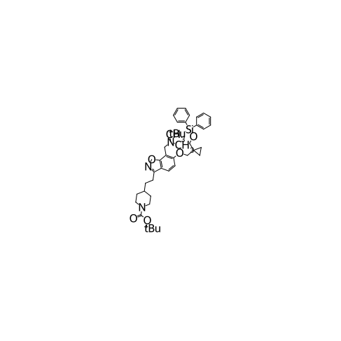 CN(C)Cc1c(OCC2(CO[Si](c3ccccc3)(c3ccccc3)C(C)(C)C)CC2)ccc2c(CCC3CCN(C(=O)OC(C)(C)C)CC3)noc12